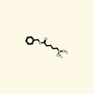 CN(C)CCCCC(=O)OCc1ccccc1